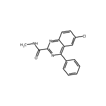 CNC(=O)c1nc(-c2ccccc2)c2cc(Cl)ccc2n1